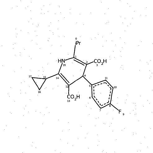 CC(C)C1=C(C(=O)O)C(c2ccc(F)cc2)C(C(=O)O)=C(C2CC2)N1